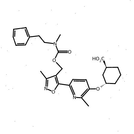 Cc1nc(-c2onc(C)c2COC(=O)N(C)CCc2ccccc2)ccc1O[C@H]1CCC[C@H](C(=O)O)C1